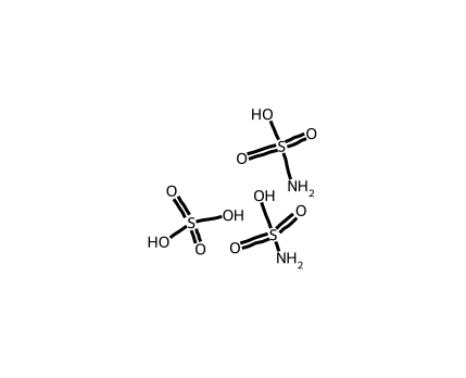 NS(=O)(=O)O.NS(=O)(=O)O.O=S(=O)(O)O